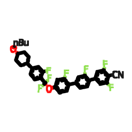 CCCCOC1CCC(c2ccc(C(F)(F)Oc3ccc(-c4ccc(-c5cc(F)c(C#N)c(F)c5)c(F)c4)c(F)c3)c(F)c2)CC1